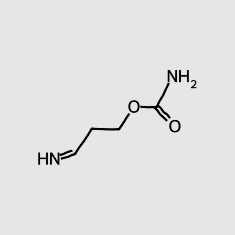 N=CCCOC(N)=O